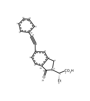 CC[C@@H](C(=O)O)N1Cc2cc(C#Cc3ccccc3)ccc2C1=O